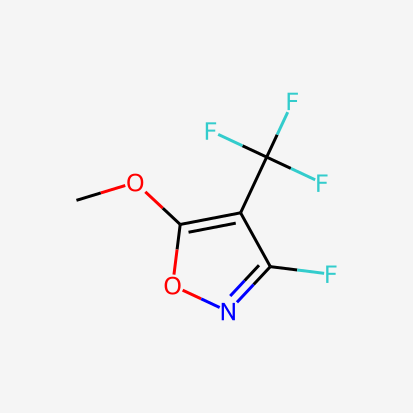 COc1onc(F)c1C(F)(F)F